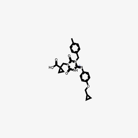 Cc1ccc(Cn2c(=O)n(CC3(C(=O)O)CC3)c(=O)[nH]/c2=N\c2ccc(OCC3CC3)cc2)cc1